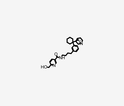 O=C(NCCCCc1cccc(C2(C3CN4CCC3CC4)CCCCC2)c1)c1ccc(CO)nc1